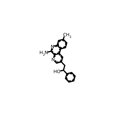 Cc1ccc2c(c1)nc(N)c1ncc(CC(O)c3ccccc3)cc12